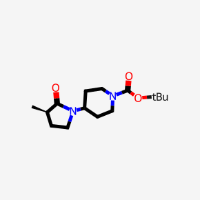 C[C@@H]1CCN(C2CCN(C(=O)OC(C)(C)C)CC2)C1=O